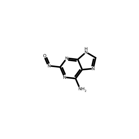 Nc1nc(N=O)nc2[nH]cnc12